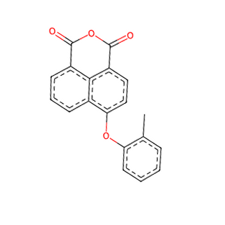 Cc1ccccc1Oc1ccc2c3c(cccc13)C(=O)OC2=O